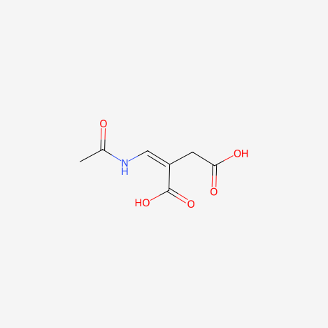 CC(=O)N/C=C(/CC(=O)O)C(=O)O